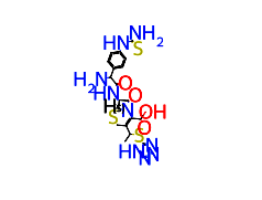 CC(Sc1nnn[nH]1)C1=C(C(=O)O)N2C(=O)C(NC(=O)C(N)c3ccc(NC(N)=S)cc3)[C@@H]2SC1